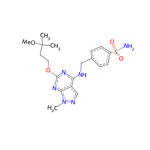 COC(C)(C)CCOc1nc(NCc2ccc(S(N)(=O)=O)cc2)c2cnn(C)c2n1